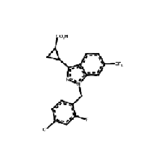 O=C(O)C1CC1c1nn(Cc2ccc(Cl)cc2F)c2cc(C(F)(F)F)ccc12